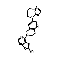 CC(C)c1cc2c(N3CCc4ncc(N5CCCn6nccc65)cc4C3)ncnc2s1